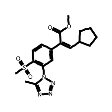 COC(=O)C(=CC1CCCC1)c1ccc(S(C)(=O)=O)c(-n2nnnc2C)c1